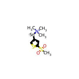 C[N+](C)(C)[Sn][c]1csc(S(C)(=O)=O)c1